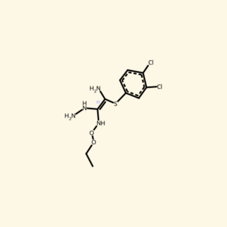 CCOON/C(NN)=C(/N)Sc1ccc(Cl)c(Cl)c1